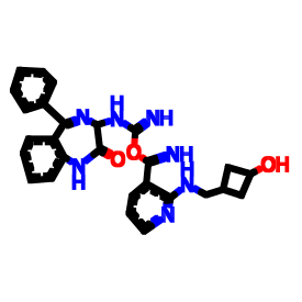 N=C(NC1N=C(c2ccccc2)c2ccccc2NC1=O)OC(=N)c1cccnc1NCC1CC(O)C1